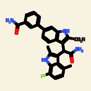 Cc1[nH]c2c(F)ccc(C)c2c1C(C(N)=O)c1c(C(=O)O)[nH]c2cc(-c3cccc(C(N)=O)c3)ccc12